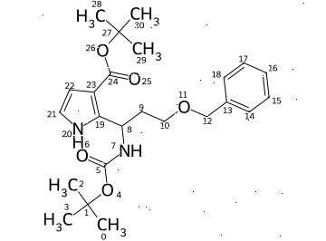 CC(C)(C)OC(=O)NC(CCOCc1ccccc1)c1[nH]ccc1C(=O)OC(C)(C)C